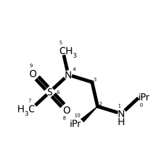 CC(C)N[C@H](CN(C)S(C)(=O)=O)C(C)C